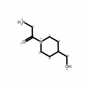 NCC(=O)N1CCC(CO)CC1